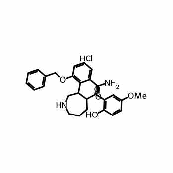 COc1ccc(O)c(C(=O)C2CCCNCC2c2c(OCc3ccccc3)cccc2C(N)=O)c1.Cl